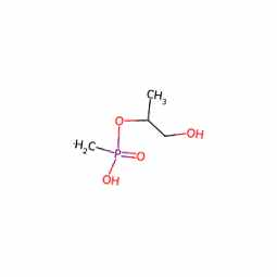 [CH2]P(=O)(O)OC(C)CO